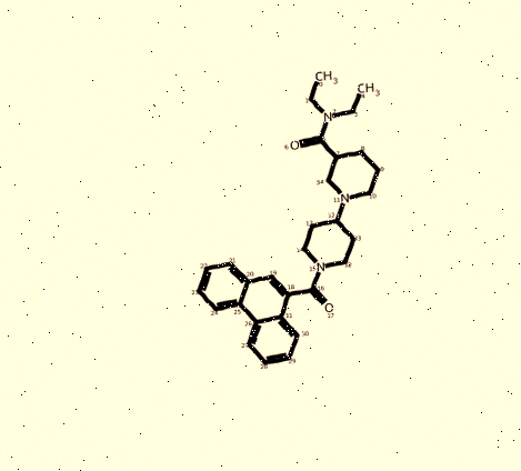 CCN(CC)C(=O)C1CCCN(C2CCN(C(=O)c3cc4ccccc4c4ccccc34)CC2)C1